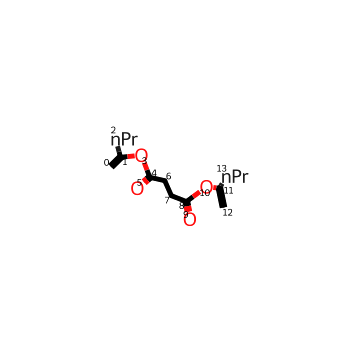 C=C(CCC)OC(=O)CCC(=O)OC(=C)CCC